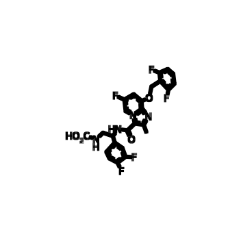 Cc1nc2c(OCc3c(F)cccc3F)cc(F)cn2c1C(=O)NC(CNC(=O)O)c1ccc(F)c(F)c1